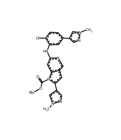 Cn1cc(-c2ccc(Cl)c(Nc3cc4c(cn3)cc(-c3cnn(C)c3)n4C(=O)OC(C)(C)C)c2)cn1